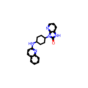 O=c1[nH]c2cccnc2n1C1CCC(Nc2ccc3ccccc3n2)CC1